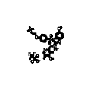 COc1ccc2nc([S+]([O-])Cc3ncc(C)c(OC)c3C)n(S(=O)(=O)c3ccc(OCC[N+](C)(C)C)cc3)c2c1.O=S(=O)([O-])C(F)(F)F